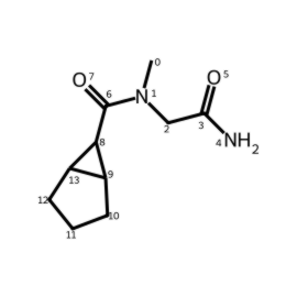 CN(CC(N)=O)C(=O)C1C2CCCC21